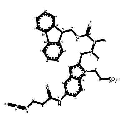 CN(Cc1cc2cc(NC(=O)CCN=[N+]=[N-])ccc2n1CCC(=O)O)N(C)C(=O)OCC1c2ccccc2-c2ccccc21